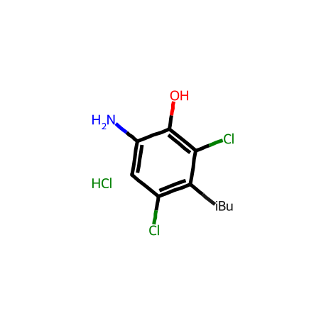 CCC(C)c1c(Cl)cc(N)c(O)c1Cl.Cl